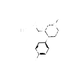 CN1CC[C@@H](c2ccc(F)cc2)[C@@H](CO)C1.Cl